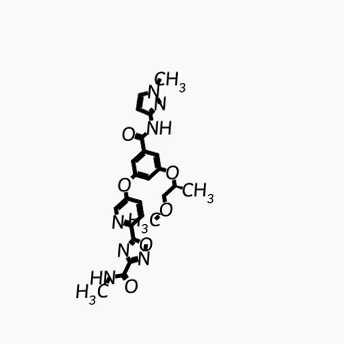 CNC(=O)c1noc(-c2ccc(Oc3cc(O[C@@H](C)COC)cc(C(=O)Nc4ccn(C)n4)c3)cn2)n1